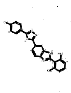 Clc1ccc(-c2nnc(-c3ccc4nc(-c5c(Cl)cccc5Cl)[nH]c4c3)o2)cc1